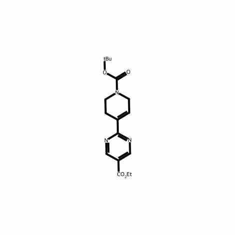 CCOC(=O)c1cnc(C2=CCN(C(=O)OC(C)(C)C)CC2)nc1